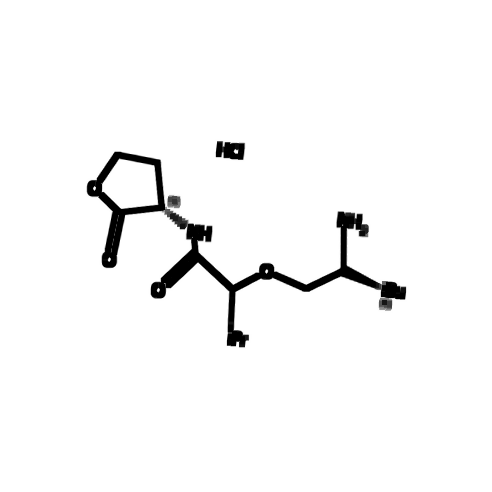 CC[C@H](C)C(N)COC(C(=O)N[C@H]1CCOC1=O)C(C)C.Cl